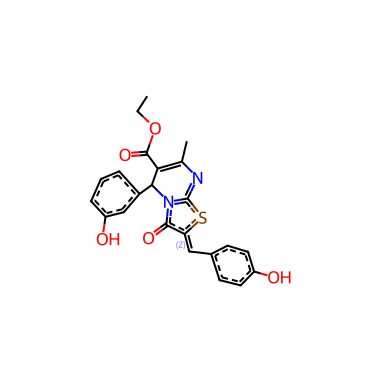 CCOC(=O)C1=C(C)N=c2s/c(=C\c3ccc(O)cc3)c(=O)n2C1c1cccc(O)c1